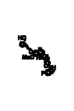 COc1cc2c(Nc3ncc(CC(=O)Nc4cc(F)ccc4F)s3)ncnc2cc1OCCCN1CCC[C@@H]1CO